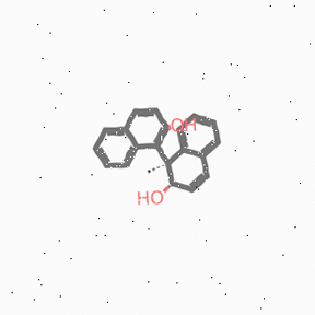 C[C@]1(c2c(O)ccc3ccccc23)c2ccccc2C=C[C@H]1O